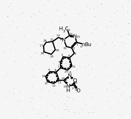 CCCCC1=C(Cc2ccc(-c3ccccc3-c3noc(=O)[nH]3)cc2)CN(CC2CCCCC2)C(C)=N1